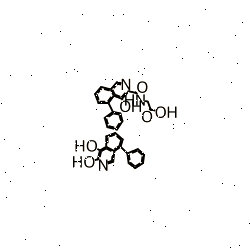 O=C(O)CNC(=O)c1ncc2cccc(-c3ccccc3)c2c1O.Oc1ncc2c(-c3ccccc3)cccc2c1O